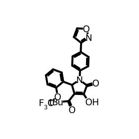 CC(C)(C)C(=O)C1=C(O)C(=O)N(c2ccc(-c3ccon3)cc2)C1c1ccccc1OC(F)(F)F